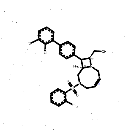 O=S(=O)(c1ccccc1C(F)(F)F)N1C/C=C\CN2[C@H](CO)C(c3ccc(-c4cccc(Cl)c4Cl)cc3)[C@@H]2C1